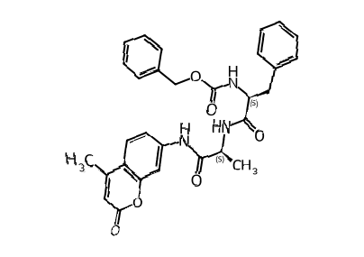 Cc1cc(=O)oc2cc(NC(=O)[C@H](C)NC(=O)[C@H](Cc3ccccc3)NC(=O)OCc3ccccc3)ccc12